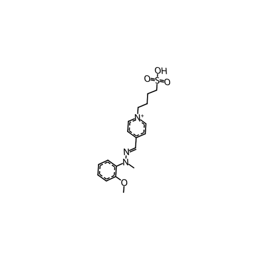 COc1ccccc1N(C)N=Cc1cc[n+](CCCCS(=O)(=O)O)cc1